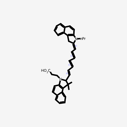 CCCN1/C(=C/C=C/C=C/C=C/C2N(CCC(=O)O)c3ccc4ccccc4c3C2(C)C)Cc2c1ccc1ccccc21